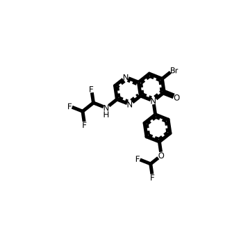 O=c1c(Br)cc2ncc(NC(F)C(F)F)nc2n1-c1ccc(OC(F)F)cc1